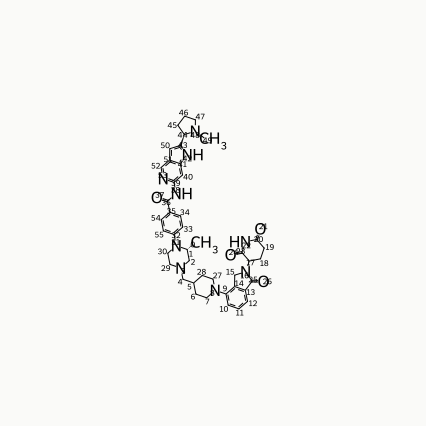 C[C@@H]1CN(CC2CCN(c3cccc4c3CN(C3CCC(=O)NC3=O)C4=O)CC2)CCN1c1ccc(C(=O)Nc2cc3[nH]c([C@H]4CCCN4C)cc3cn2)cc1